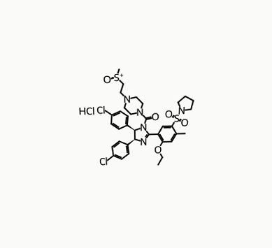 CCOc1cc(C)c(S(=O)(=O)N2CCCC2)cc1C1=N[C@@H](c2ccc(Cl)cc2)[C@@H](c2ccc(Cl)cc2)N1C(=O)N1CCN(CC[S+](C)[O-])CC1.Cl